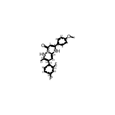 COc1ccc(C2=CC(=O)N3NC(C)=C(c4ccc(F)cc4F)C=C3N2)cc1